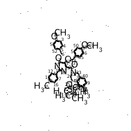 COc1ccc(COc2nc(-c3ccc(C)cc3)nc(C(=O)N(CCO[Si](C)(C)C(C)(C)C)Cc3ccc(F)cc3)c2OCc2ccc(OC)cc2)cc1